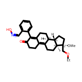 CCOC[C@]1(OC)CC[C@H]2[C@@H]3CCC4=C(c5ccccc5/C=N\O)C(=O)CCC4=C3CC[C@@]21C